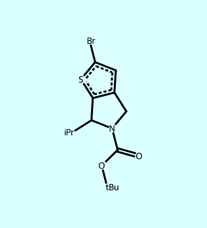 CC(C)C1c2sc(Br)cc2CN1C(=O)OC(C)(C)C